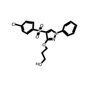 O=S(=O)(c1ccc(Cl)cc1)c1cn(-c2ccccc2)nc1OCCCO